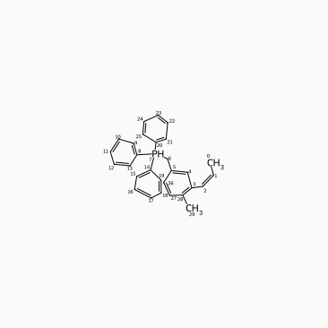 C/C=C\c1cc(C[PH](c2ccccc2)(c2ccccc2)c2ccccc2)ccc1C